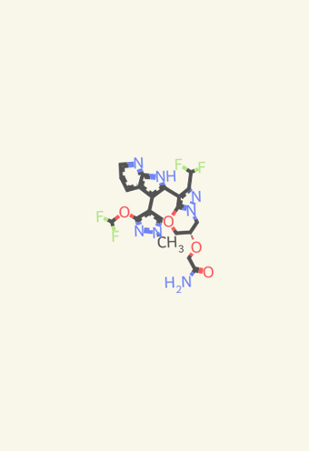 Cn1cc(-c2c(-c3c(C(F)F)nn4c3OC[C@@H](OCC(N)=O)C4)[nH]c3ncccc23)c(OC(F)F)n1